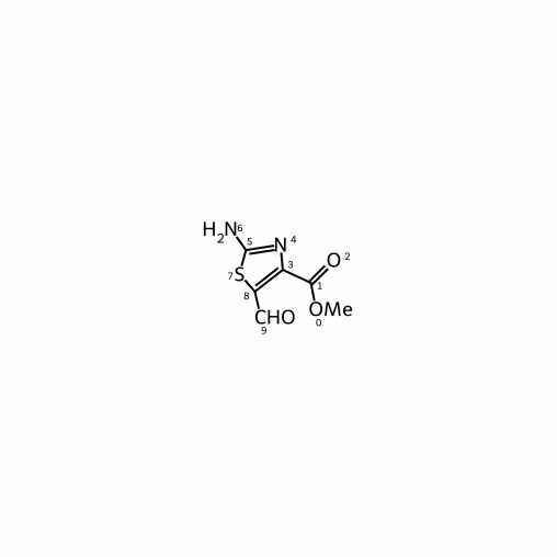 COC(=O)c1nc(N)sc1C=O